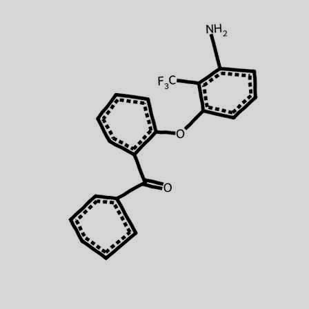 Nc1cccc(Oc2ccccc2C(=O)c2ccccc2)c1C(F)(F)F